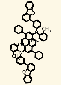 Cc1cccc(C)c1N(c1cccc(-c2cccc3c2oc2ccccc23)c1)c1cc(C2CCCCC2)c2ccc3c(N(c4cccc(-c5cccc6c5oc5ccccc56)c4)c4c(C)cccc4C)cc(C4CCCCC4)c4ccc1c2c43